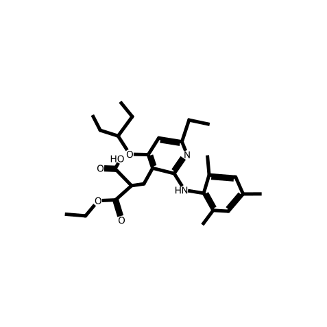 CCOC(=O)C(Cc1c(OC(CC)CC)cc(CC)nc1Nc1c(C)cc(C)cc1C)C(=O)O